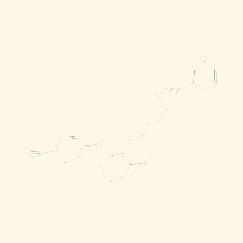 N#Cc1ccc(Nc2ncnc3c2CN(CCc2nnc(-c4ccccc4)o2)CC3)c(F)c1